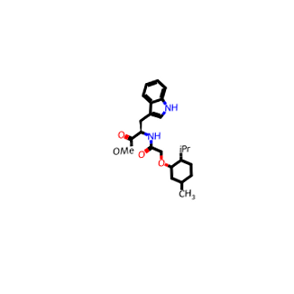 COC(=O)[C@@H](Cc1c[nH]c2ccccc12)NC(=O)COC1CC(C)CCC1C(C)C